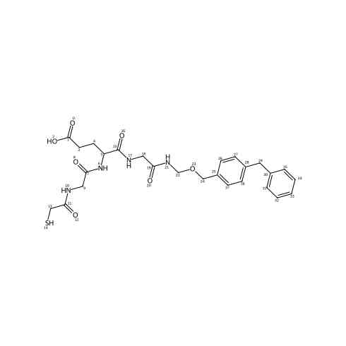 O=C(O)CCC(NC(=O)CNC(=O)CS)C(=O)NCC(=O)NCOCc1ccc(Cc2ccccc2)cc1